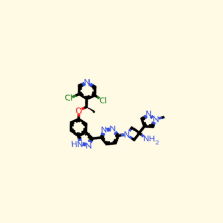 C[C@@H](Oc1ccc2[nH]nc(-c3ccc(N4CC(N)(c5cnn(C)c5)C4)nn3)c2c1)c1c(Cl)cncc1Cl